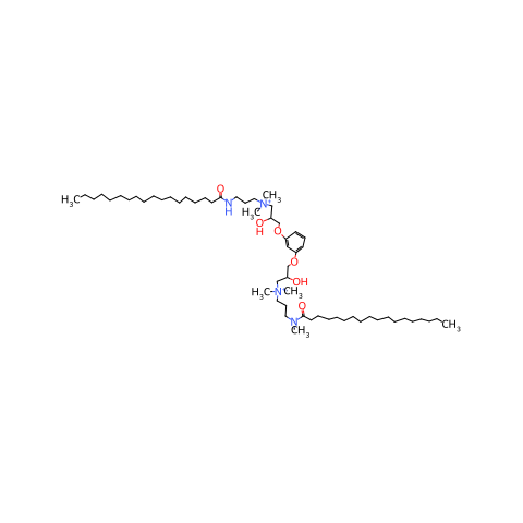 CCCCCCCCCCCCCCCCCC(=O)NCCC[N+](C)(C)CC(O)COc1cccc(OCC(O)C[N+](C)(C)CCCN(C)C(=O)CCCCCCCCCCCCCCCCC)c1